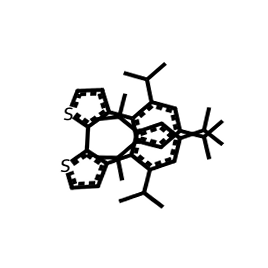 CC(C)c1cc(C(C)C)c(-c2ccsc2-c2sccc2-c2c(C(C)C)cc(C(C)C)cc2C(C)C)c(C(C)C)c1